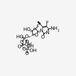 C#Cc1c(F)c(N)nc(=O)n1[C@@H]1O[C@H](COP(=O)(O)OP(=O)(O)OP(=O)(O)O)[C@H](O)[C@@]1(C)F